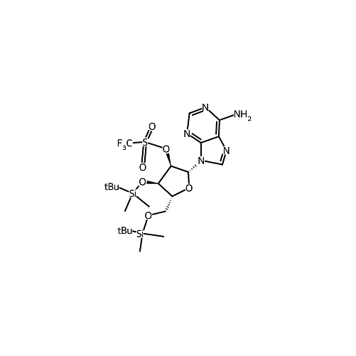 CC(C)(C)[Si](C)(C)OC[C@H]1O[C@@H](n2cnc3c(N)ncnc32)[C@H](OS(=O)(=O)C(F)(F)F)[C@@H]1O[Si](C)(C)C(C)(C)C